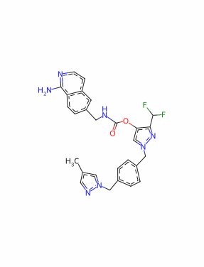 Cc1cnn(Cc2ccc(Cn3cc(OC(=O)NCc4ccc5c(N)nccc5c4)c(C(F)F)n3)cc2)c1